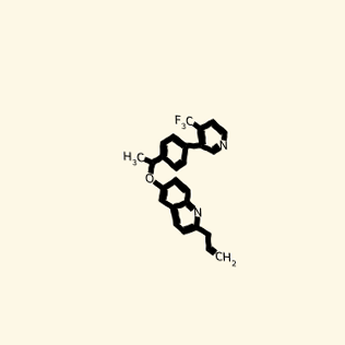 C=CCc1ccc2cc(OC(C)c3ccc(-c4cnccc4C(F)(F)F)cc3)ccc2n1